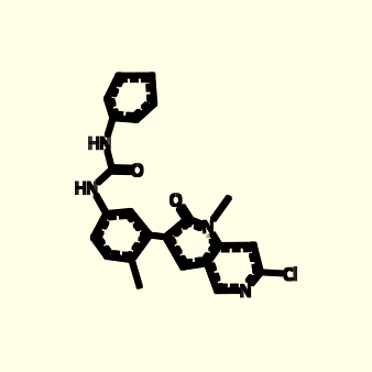 Cc1ccc(NC(=O)Nc2ccccc2)cc1-c1cc2cnc(Cl)cc2n(C)c1=O